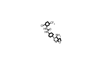 NC1=c2ccoc2=NCN1c1ccc(NC(=O)Nc2cc(C(F)(F)F)ccc2Cl)cc1